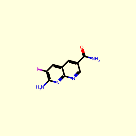 NC(=O)c1cnc2nc(N)c(I)cc2c1